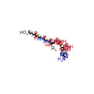 CC(C)(COP(=O)(O)OP(=O)(O)OC[C@H]1O[C@@H](n2cnc3c(N)ncnc32)[C@H](O)[C@@H]1OP(=O)(O)O)[C@@H](O)C(=O)NCCC(=O)NCCSC(=O)C(=O)CCCC(=O)O